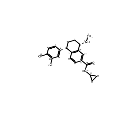 CN[C@H]1CC[C@@H](c2ccc(Cl)c(Cl)c2)c2ccc(C(=O)NC3CC3)cc21